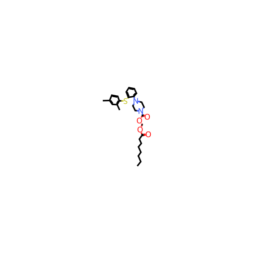 CCCCCCCC(=O)OCOC(=O)N1CCN(c2ccccc2Sc2ccc(C)cc2C)CC1